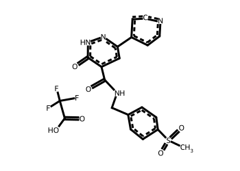 CS(=O)(=O)c1ccc(CNC(=O)c2cc(-c3ccncc3)n[nH]c2=O)cc1.O=C(O)C(F)(F)F